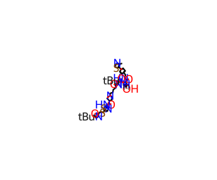 Cc1ncsc1-c1ccc(CNC(=O)C2C[C@@H](O)CN2C(=O)C(NC(=O)CCCCN2CCC(C(=O)Nc3ncc(SCc4ncc(C(C)(C)C)o4)s3)CC2)C(C)(C)C)cc1